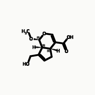 CO[C@@H]1OC=C(C(=O)O)[C@H]2CC=C(CO)[C@@H]12